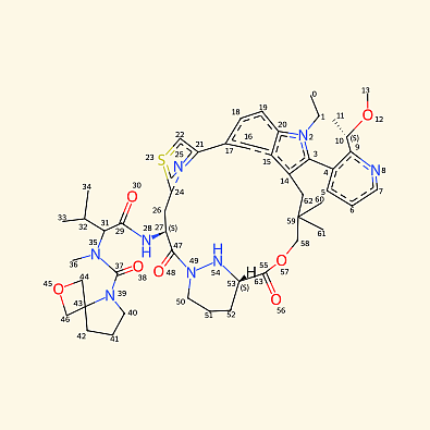 CCn1c(-c2cccnc2[C@H](C)OC)c2c3cc(ccc31)-c1csc(n1)C[C@H](NC(=O)C(C(C)C)N(C)C(=O)N1CCCC13COC3)C(=O)N1CCC[C@H](N1)C(=O)OCC(C)(C)C2